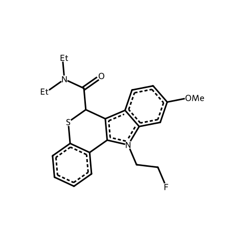 CCN(CC)C(=O)C1Sc2ccccc2-c2c1c1ccc(OC)cc1n2CCF